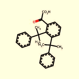 CC(C)(c1ccccc1)c1cccc(C(=O)C(=O)O)c1C(C)(C)c1ccccc1